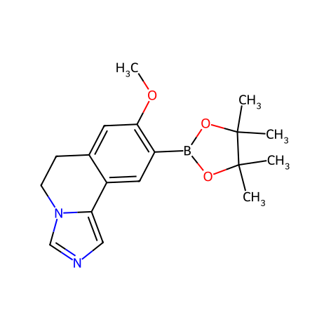 COc1cc2c(cc1B1OC(C)(C)C(C)(C)O1)-c1cncn1CC2